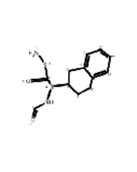 NSC(=O)N(NC=O)C1CCc2ccccc2C1